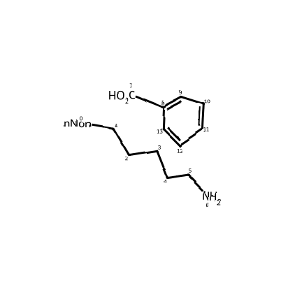 CCCCCCCCCCCCCCN.O=C(O)c1ccccc1